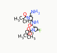 CC(C)C(=O)N1C[C@H](NC(=O)[C@@H]2C[C@H](F)CN2C(=O)OC(C)(C)C)C[C@@H]1CN